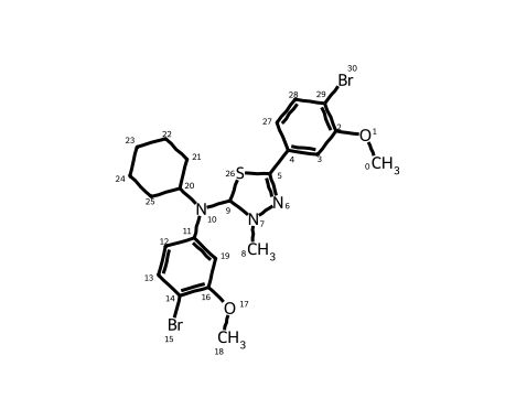 COc1cc(C2=NN(C)C(N(c3ccc(Br)c(OC)c3)C3CCCCC3)S2)ccc1Br